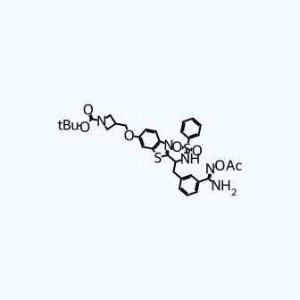 CC(=O)ON=C(N)c1cccc(CC(NS(=O)(=O)c2ccccc2)c2nc3ccc(OCC4CN(C(=O)OC(C)(C)C)C4)cc3s2)c1